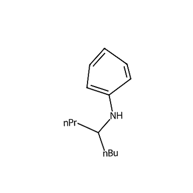 CCCCC(CCC)Nc1ccccc1